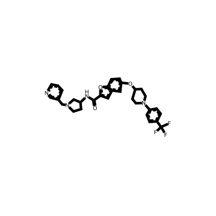 O=C(NC1CCN(Cc2cccnc2)C1)c1cc2cc(OC3CCN(c4ccc(C(F)(F)F)cc4)CC3)ccc2o1